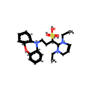 CCN1C=CCN(CC)C1C(CCN1c2ccccc2Oc2ccccc21)S(=O)(=O)O